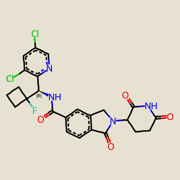 O=C1CCC(N2Cc3cc(C(=O)N[C@H](c4ncc(Cl)cc4Cl)C4(F)CCC4)ccc3C2=O)C(=O)N1